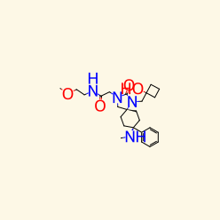 CN[C@]1(c2ccccc2)CC[C@@]2(CC1)CN(CC(=O)NCCOC)C(=O)N2CC1(O)CCC1